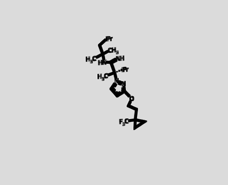 CC(C)CC(C)(C)NC(=N)[C@@](C)(C(C)C)n1ccc(OCCC2(C(F)(F)F)CC2)n1